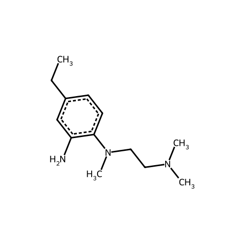 CCc1ccc(N(C)CCN(C)C)c(N)c1